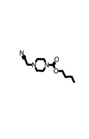 CCCCOC(=O)N1CCN(CC#N)CC1